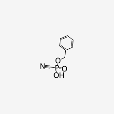 N#CP(=O)(O)OCc1ccccc1